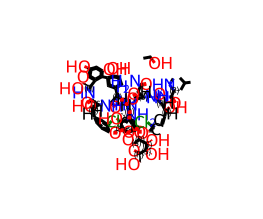 CCO.CN[C@H](CC(C)C)C(=O)N[C@H]1C(=O)N[C@@H](CC(N)=O)C(=O)N[C@H]2C(=O)N[C@H]3C(=O)N[C@H](C(=O)N[C@@H](C(=O)O)c4cc(O)cc(O)c4-c4cc3ccc4O)[C@H](O)c3ccc(c(Cl)c3)Oc3cc2cc(c3O[C@@H]2O[C@H](CO)[C@@H](O)[C@H](O)[C@H]2O[C@H]2C[C@](C)(N)C(O)[C@H](C)O2)Oc2ccc(cc2Cl)[C@H]1O